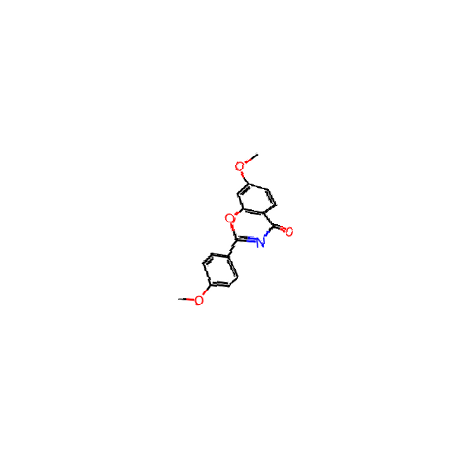 COc1ccc(-c2nc(=O)c3ccc(OC)cc3o2)cc1